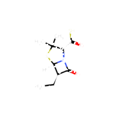 CC[C@@H]1C(=O)N2[C@@H]1SC(C)(C)[C@@H]2C(=O)S